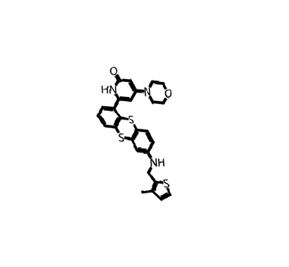 Cc1ccsc1CNc1ccc2c(c1)Sc1cccc(-c3cc(N4CCOCC4)cc(=O)[nH]3)c1S2